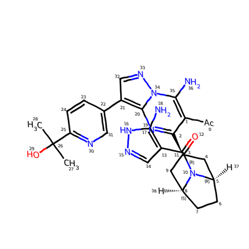 CC(=O)c1c([C@H]2C[C@H]3CC[C@@H](C2)N3C(=O)c2cn[nH]c2N)nc2c(-c3ccc(C(C)(C)O)nc3)cnn2c1N